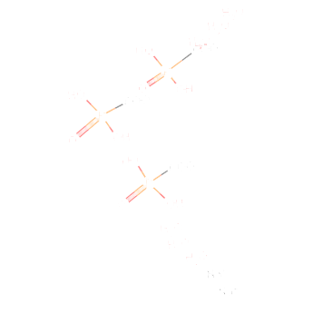 O.O.O.O.O.O.O=C([O-])P(=O)(O)O.O=C([O-])P(=O)(O)O.O=C([O-])P(=O)(O)O.[Na+].[Na+].[Na+]